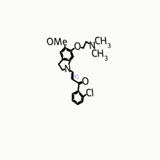 COc1cc2c(cc1OCCN(C)C)N(/C=C/C(=O)c1ccccc1Cl)CC2